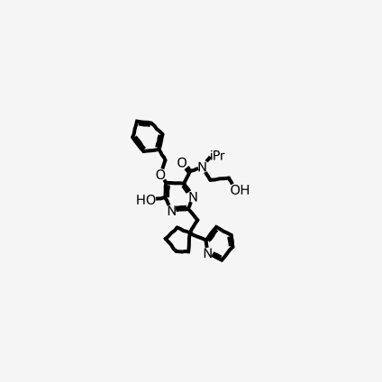 CC(C)N(CCO)C(=O)c1nc(CC2(c3ccccn3)CCCC2)nc(O)c1OCc1ccccc1